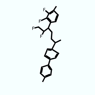 Cc1ccc(-c2ccc(C(C)CCC(c3ccc(C)c(F)c3F)C(F)CF)cc2)cc1